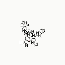 CCOc1nc(Cl)ccc1C1(N2C[C@@H]3C[C@H]2CN3c2ccncc2)C(=O)N(S(=O)(=O)c2ccc(OC)cn2)c2ccc(C#N)cc21